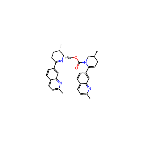 Cc1ccc2ccc(C3=CC[C@H](C)CN3C(=O)OC(C)(C)C)cc2n1.Cc1ccc2ccc(C3=NC[C@@H](C)CC3)cc2n1